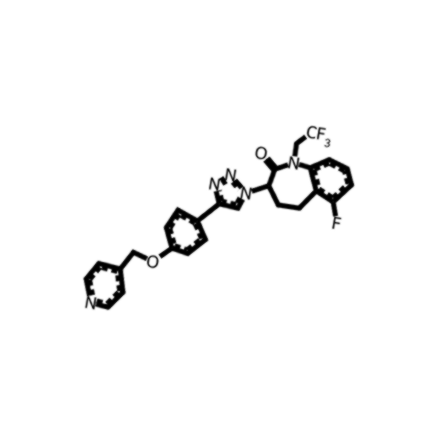 O=C1C(n2cc(-c3ccc(OCc4ccncc4)cc3)nn2)CCc2c(F)cccc2N1CC(F)(F)F